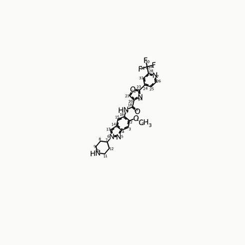 COc1cc2nn(C3CCNCC3)cc2cc1NC(=O)c1coc(-c2ccnc(C(F)(F)F)c2)n1